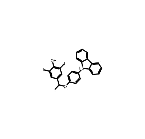 CC(Oc1ccc([SH]2c3ccccc3-c3ccccc32)cc1)c1cc(I)c(O)c(I)c1